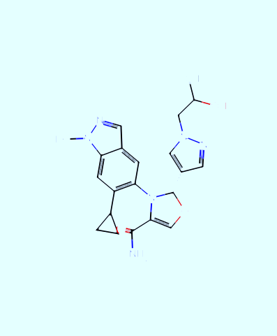 CC(O)Cn1cc([C@@H]2OC=C(C(N)=O)N2c2cc3cnn(C)c3cc2C2CC2)cn1